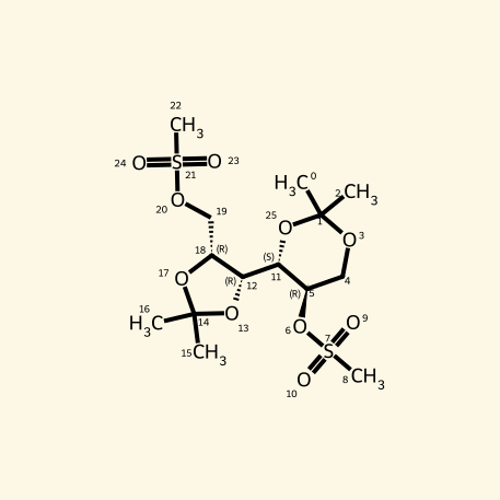 CC1(C)OC[C@@H](OS(C)(=O)=O)[C@H]([C@@H]2OC(C)(C)O[C@@H]2COS(C)(=O)=O)O1